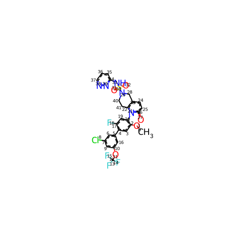 COc1cc(-c2cc(Cl)cc(OC(F)(F)F)c2)c(F)cc1-n1c2c(ccc1=O)CN(S(=O)(=O)Nc1cccnn1)CC2